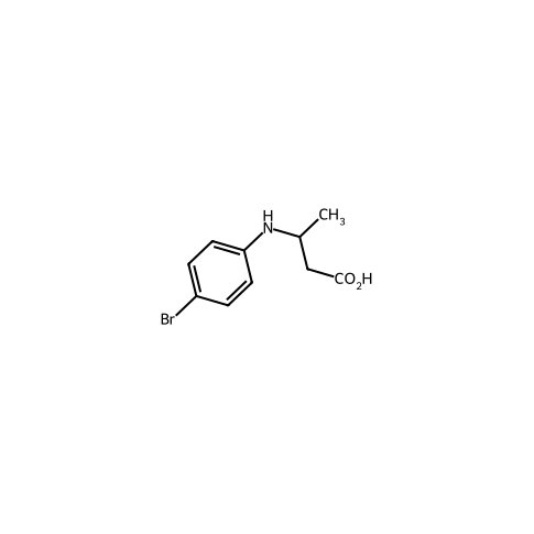 CC(CC(=O)O)Nc1ccc(Br)cc1